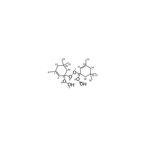 CC1=CC(OO)(OOC2(OO)C=C(C)CC(C)(C)C2)CC(C)(C)C1